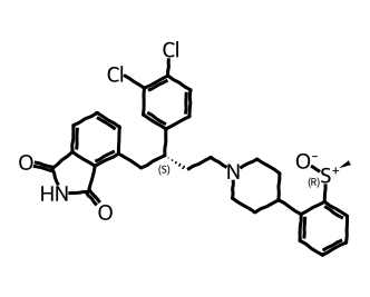 C[S@+]([O-])c1ccccc1C1CCN(CC[C@H](Cc2cccc3c2C(=O)NC3=O)c2ccc(Cl)c(Cl)c2)CC1